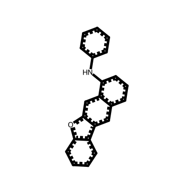 c1ccc(Nc2cccc3cc4c(cc23)oc2ccccc24)cc1